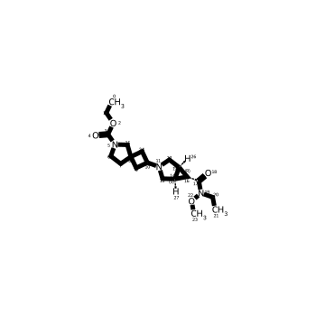 CCOC(=O)N1CCC2(CC(N3C[C@@H]4[C@H](C3)[C@H]4C(=O)N(CC)OC)C2)C1